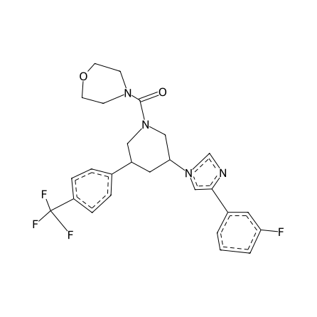 O=C(N1CCOCC1)N1CC(c2ccc(C(F)(F)F)cc2)CC(n2cnc(-c3cccc(F)c3)c2)C1